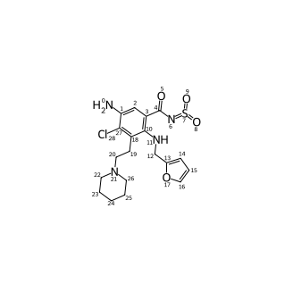 Nc1cc(C(=O)N=S(=O)=O)c(NCc2ccco2)c(CCN2CCCCC2)c1Cl